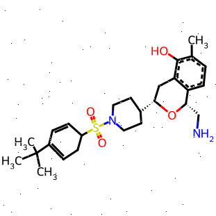 Cc1ccc2c(c1O)C[C@@H](C1CCN(S(=O)(=O)C3C=CC(C(C)(C)C)=CC3)CC1)O[C@H]2CN